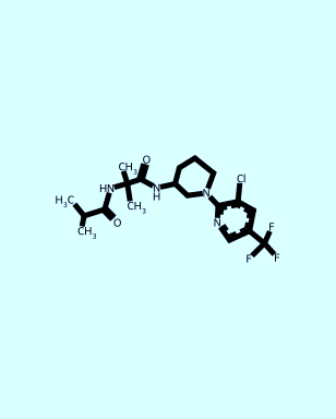 CC(C)C(=O)NC(C)(C)C(=O)NC1CCCN(c2ncc(C(F)(F)F)cc2Cl)C1